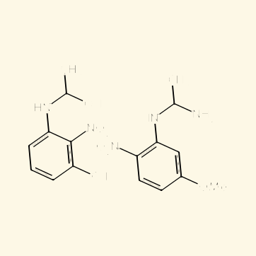 COc1ccc([N+](=O)[O-])c(NC(C)N)c1.Cc1cccc(NC(C)O)c1[N+](=O)[O-]